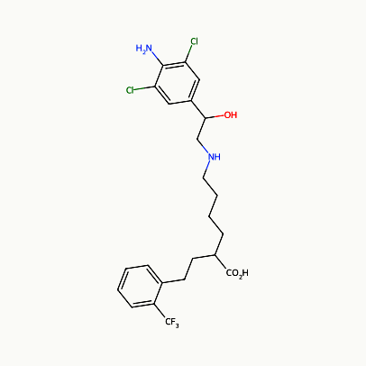 Nc1c(Cl)cc(C(O)CNCCCCC(CCc2ccccc2C(F)(F)F)C(=O)O)cc1Cl